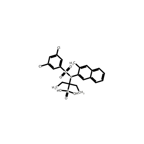 CCC(CC)(N(c1cc2ccccc2cc1C)S(=O)(=O)c1cc(Cl)cc(Cl)c1)P(=O)(O)O